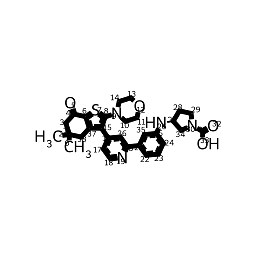 CC1(C)CC(=O)c2sc(N3CCOCC3)c(-c3ccnc(-c4cccc(N[C@@H]5CCN(C(=O)O)C5)c4)c3)c2C1